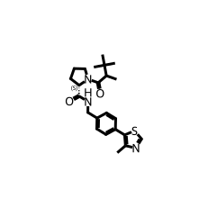 Cc1ncsc1-c1ccc(CNC(=O)[C@@H]2CCCN2C(=O)C(C)C(C)(C)C)cc1